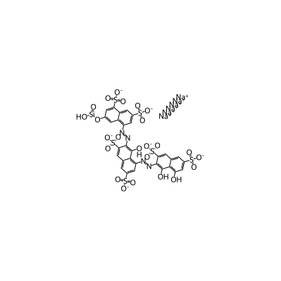 O=[Si](O)Oc1cc(S(=O)(=O)[O-])c2cc(S(=O)(=O)[O-])cc(N=Nc3c(S(=O)(=O)[O-])cc4cc(S(=O)(=O)[O-])cc(N=Nc5c(S(=O)(=O)[O-])cc6cc(S(=O)(=O)[O-])cc(O)c6c5O)c4c3O)c2c1.[Na+].[Na+].[Na+].[Na+].[Na+].[Na+]